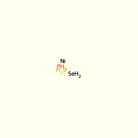 P.S.[Ni].[SeH2]